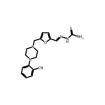 N#Cc1ccccc1N1CCN(Cc2ccc(/C=N/NC(N)=S)o2)CC1